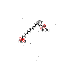 CCCCOC(=O)CCCCCCCCCCCC(CCC(=O)OCCCC)C(C)C